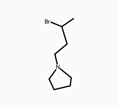 CC(Br)CCN1CCCC1